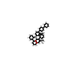 C[Si]1(C)c2cc(-c3ccccc3)ccc2-c2ccc(N(c3ccccc3-c3ccccc3)c3cccc4c3-c3ccccc3[Si]4(C)C)cc21